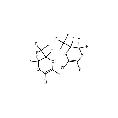 FC1=C(Cl)OC(F)(C(F)(F)F)C(F)(F)O1.FC1=C(Cl)OC(F)(F)C(F)(C(F)(F)F)O1